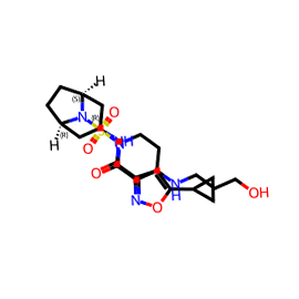 O=C(N[C@H]1C[C@H]2CC[C@@H](C1)N2S(=O)(=O)N1CCC(NCCCO)CC1)c1cc(C2CC2)on1